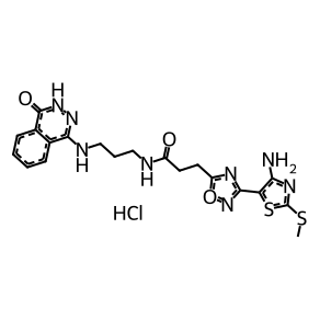 CSc1nc(N)c(-c2noc(CCC(=O)NCCCNc3n[nH]c(=O)c4ccccc34)n2)s1.Cl